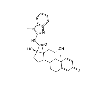 Cn1c(NC(=O)[C@@]2(O)CCC3C4CCC5=CC(=O)C=CC5(C)C4[C@@H](O)CC32C)nc2ccccc21